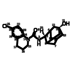 O=C(N[C@H]1C2CC3CC1C[C@](O)(C3)C2)N1CCCc2cc(Cl)ccc21